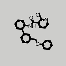 O=C(Nc1ccccc1-c1cccc(COc2ccccc2)c1)c1cccnc1Cl